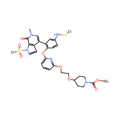 CCSNc1ccc(Oc2cccc(OCCOC3CCN(C(=O)OC(C)(C)C)CC3)n2)c(-c2cn(C)c(=O)c3c2ccn3S(=O)(=O)CC)c1